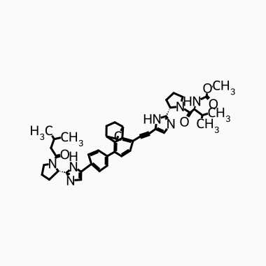 COC(=O)N[C@H](C(=O)N1CCC[C@H]1c1ncc(C#Cc2ccc(-c3ccc(-c4cnc([C@@H]5CCCN5C(=O)CC(C)C)[nH]4)cc3)c3c2C2CCC3CC2)[nH]1)C(C)C